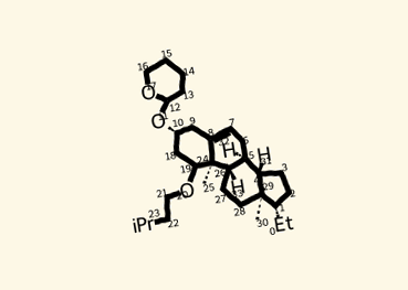 CC[C@H]1CC[C@H]2[C@@H]3CC=C4C[C@@H](OC5CCCCO5)CC(OCCC(C)C)[C@]4(C)[C@H]3CC[C@]12C